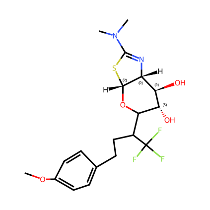 COc1ccc(CCC(C2O[C@@H]3SC(N(C)C)=N[C@@H]3[C@@H](O)[C@@H]2O)C(F)(F)F)cc1